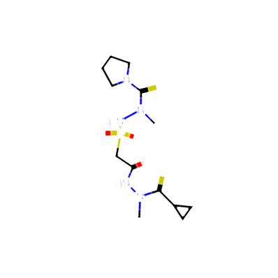 CN(NC(=O)CS(=O)(=O)NN(C)C(=S)N1CCCC1)C(=S)C1CC1